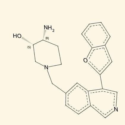 N[C@@H]1CCN(Cc2ccc3cncc(-c4cc5ccccc5o4)c3c2)C[C@@H]1O